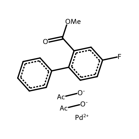 CC(=O)[O-].CC(=O)[O-].COC(=O)c1cc(F)ccc1-c1ccccc1.[Pd+2]